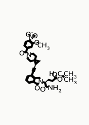 COc1cc(C(=O)N2CCC3(CC2)C[C@H]3C#Cc2cccc3c2CN([C@@H](CCC(=O)OC(C)(C)C)C(N)=O)C3=O)ccc1[N+](=O)[O-]